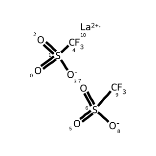 O=S(=O)([O-])C(F)(F)F.O=S(=O)([O-])C(F)(F)F.[La+2]